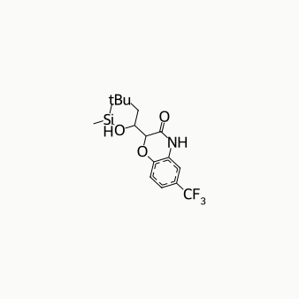 C[SiH](C)OC(CC(C)(C)C)C1Oc2ccc(C(F)(F)F)cc2NC1=O